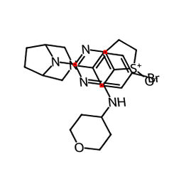 [O-][S+]1CCc2nc(N3C4CCC3CN(c3ccc(Br)cc3)C4)nc(NC3CCOCC3)c21